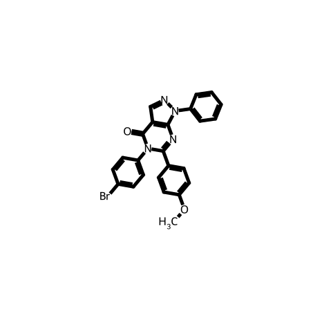 COc1ccc(-c2nc3c(cnn3-c3ccccc3)c(=O)n2-c2ccc(Br)cc2)cc1